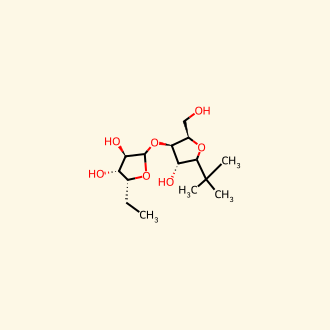 CC[C@H]1OC(O[C@H]2[C@@H](CO)OC(C(C)(C)C)[C@@H]2O)[C@H](O)[C@H]1O